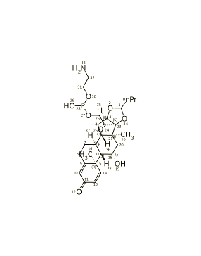 CCCC1O[C@@H]2C[C@H]3[C@@H]4CCC5=CC(=O)C=C[C@]5(C)[C@H]4[C@@H](O)C[C@]3(C)[C@]2(C(=O)COP(O)OCCN)O1